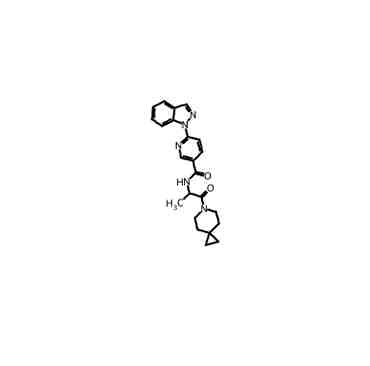 CC(NC(=O)c1ccc(-n2ncc3ccccc32)nc1)C(=O)N1CCC2(CC1)CC2